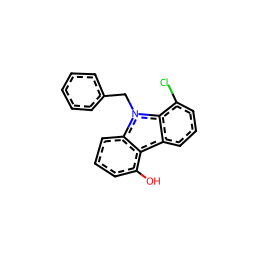 Oc1cccc2c1c1cccc(Cl)c1n2Cc1ccccc1